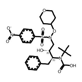 CC(C)(C)N(C(=O)O)[C@@H](Cc1ccccc1)[C@H](O)CN(OC1CCOCC1)S(=O)(=O)c1ccc([N+](=O)[O-])cc1